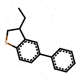 CCC1CSc2ccc(-c3ccccc3)cc21